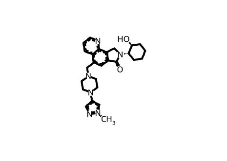 Cn1cc(N2CCN(Cc3cc4c(c5ncccc35)CN([C@H]3CCCC[C@@H]3O)C4=O)CC2)cn1